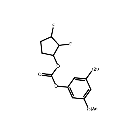 COc1cc(OC(=O)OC2CCC(F)C2F)cc(C(C)(C)C)c1